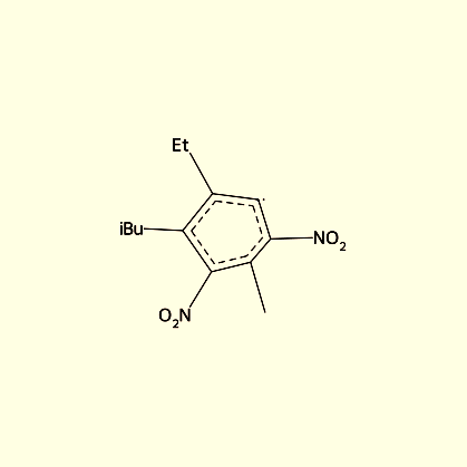 CCc1[c]c([N+](=O)[O-])c(C)c([N+](=O)[O-])c1C(C)CC